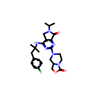 CC(C)N1Cc2c(NC(C)(C)Cc3ccc(F)cc3)nc(N3CCN4C(=O)OCC4C3)nc2C1=O